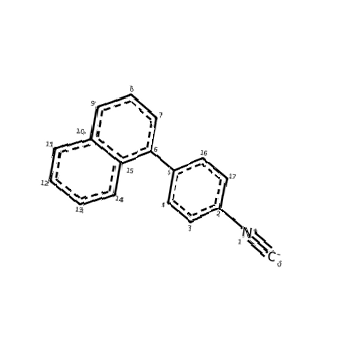 [C-]#[N+]c1ccc(-c2cccc3ccccc23)cc1